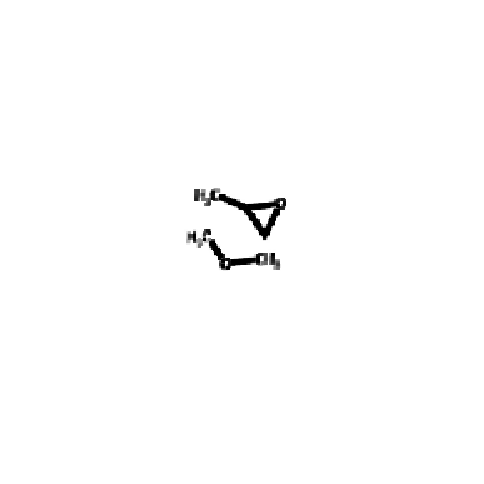 CC1CO1.COC